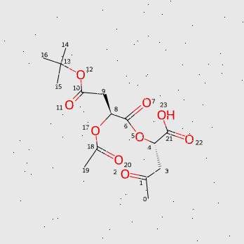 CC(=O)C[C@H](OC(=O)[C@H](CC(=O)OC(C)(C)C)OC(C)=O)C(=O)O